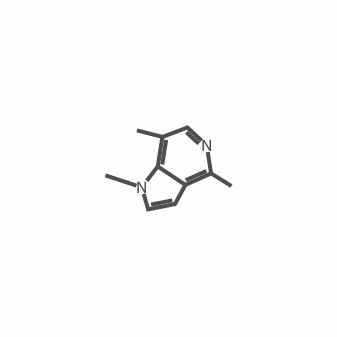 Cc1ncc(C)c2c1ccn2C